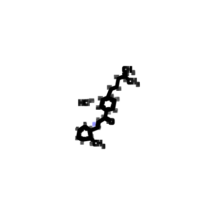 Cc1ccccc1/C=C/C(=O)c1ccc(CCCN(C)C)cc1.Cl